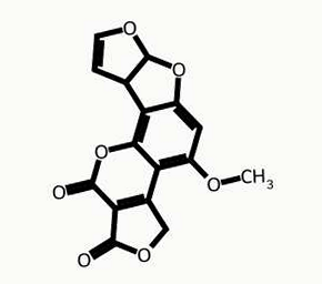 COc1cc2c(c3oc(=O)c4c(c13)COC4=O)C1C=COC1O2